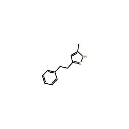 Cc1cc(CCc2ccccc2)n[nH]1